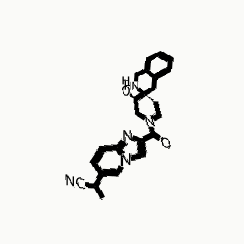 CC(C#N)c1ccc2nc(C(=O)N3CC[C@]4(Cc5ccccc5CN4)[C@H](O)C3)cn2c1